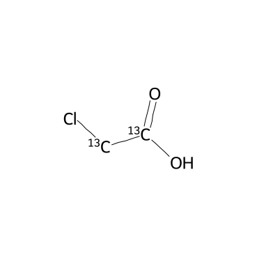 O=[13C](O)[13CH2]Cl